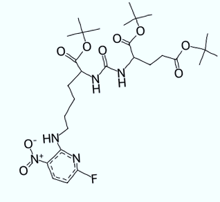 CC(C)(C)OC(=O)CCC(NC(=O)NC(CCCCNc1nc(F)ccc1[N+](=O)[O-])C(=O)OC(C)(C)C)C(=O)OC(C)(C)C